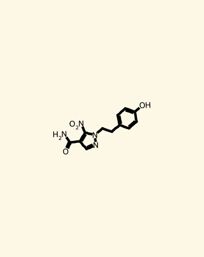 NC(=O)c1cnn(CCc2ccc(O)cc2)c1[N+](=O)[O-]